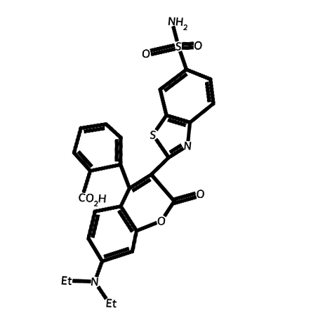 CCN(CC)c1ccc2c(-c3ccccc3C(=O)O)c(-c3nc4ccc(S(N)(=O)=O)cc4s3)c(=O)oc2c1